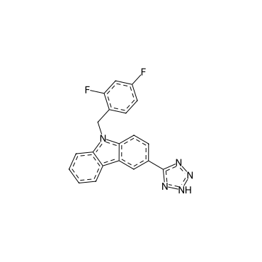 Fc1ccc(Cn2c3ccccc3c3cc(-c4nn[nH]n4)ccc32)c(F)c1